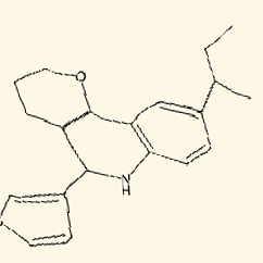 CCC(C)c1ccc2c(c1)C1OCCCC1C(c1ccsc1)N2